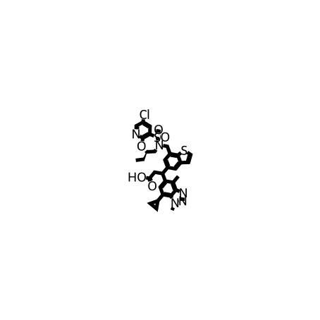 CC[C@@H]1CN(Cc2cc(C(CC(=O)O)c3cc(C4CC4)c4c(nnn4C)c3C)cc3ccsc23)S(=O)(=O)c2cc(Cl)cnc2O1